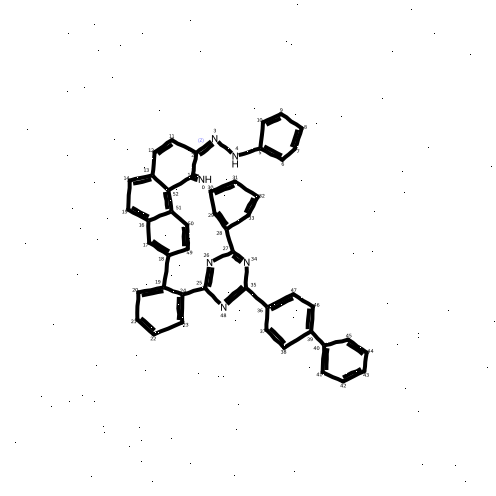 N=C1/C(=N\Nc2ccccc2)C=Cc2ccc3cc(-c4ccccc4-c4nc(-c5ccccc5)nc(-c5ccc(-c6ccccc6)cc5)n4)ccc3c21